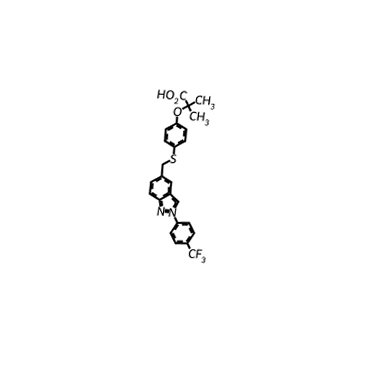 CC(C)(Oc1ccc(SCc2ccc3nn(-c4ccc(C(F)(F)F)cc4)cc3c2)cc1)C(=O)O